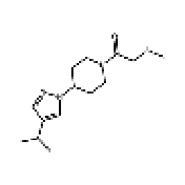 CSCC(=O)N1CCC(n2cc(C(C)C)cn2)CC1